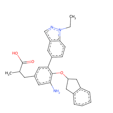 CCn1ncc2cc(-c3cc(CC(C)C(=O)O)cc(N)c3OC3Cc4ccccc4C3)ccc21